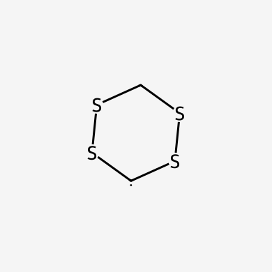 [CH]1SSCSS1